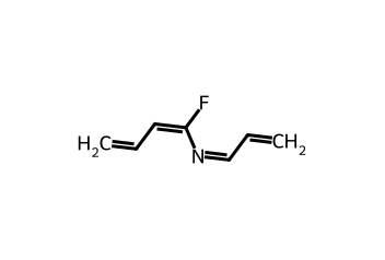 C=C/C=N\C(F)=C/C=C